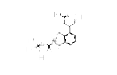 CCC(CC(=O)O)c1cccc2c1CON(C(=O)OC(C)(C)C)C2